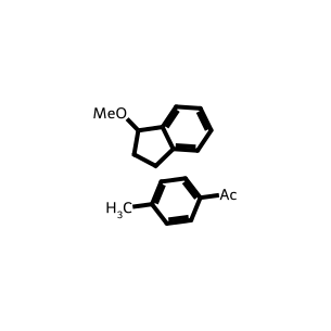 CC(=O)c1ccc(C)cc1.COC1CCc2ccccc21